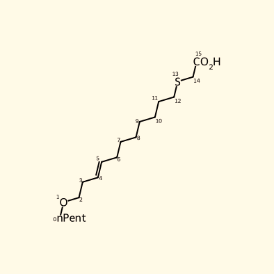 CCCCCOCCC=CCCCCCCCSCC(=O)O